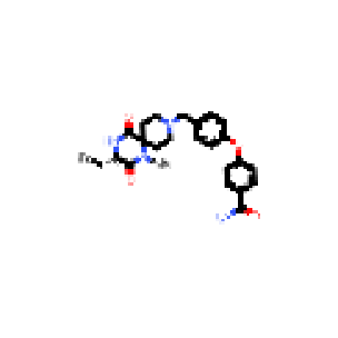 CCCCN1C(=O)[C@H](CC(C)C)NC(=O)C12CCN(Cc1ccc(Oc3ccc(C(N)=O)cc3)cc1)CC2